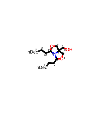 CCCCCCCCCCCCC1OCC2(CO)COC(CCCCCCCCCCCC)N12